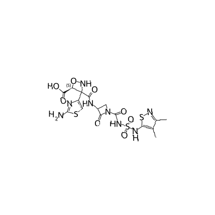 Cc1nsc(NS(=O)(=O)NC(=O)N2CC(NC(=O)C3(c4csc(N)n4)NO[C@@H]3C(=O)O)C2=O)c1C